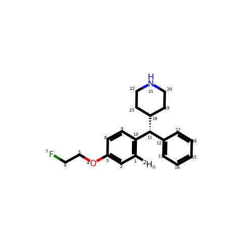 [2H]c1cc(OCCF)ccc1[C@@H](c1ccccc1)C1CCNCC1